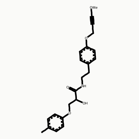 COC#CCOc1ccc(CCNC(=O)C(O)COc2ccc(C)cc2)cc1